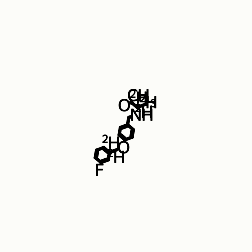 [2H]C([2H])(Oc1ccc(CN[C@H](C(C)=O)C([2H])([2H])[2H])cc1)c1cccc(F)c1